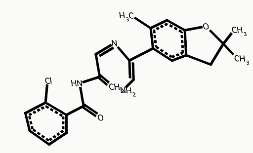 C=C(/C=N\C(=C/N)c1cc2c(cc1C)OC(C)(C)C2)NC(=O)c1ccccc1Cl